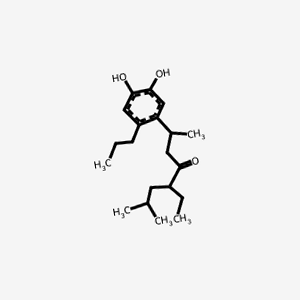 CCCc1cc(O)c(O)cc1C(C)CC(=O)C(CC)CC(C)C